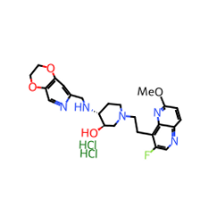 COc1ccc2ncc(F)c(CCN3CC[C@@H](NCc4cc5c(cn4)OCCO5)[C@H](O)C3)c2n1.Cl.Cl